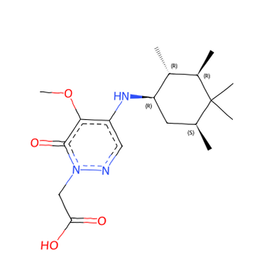 COc1c(N[C@@H]2C[C@H](C)C(C)(C)[C@H](C)[C@H]2C)cnn(CC(=O)O)c1=O